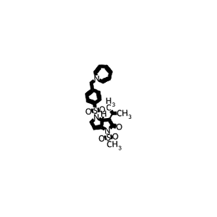 CC(C)[C@H]1C(=O)N(S(C)(=O)=O)C2=CCN(S(=O)(=O)c3ccc(CN4C=CC=CC=C4)cc3)[C@@H]21